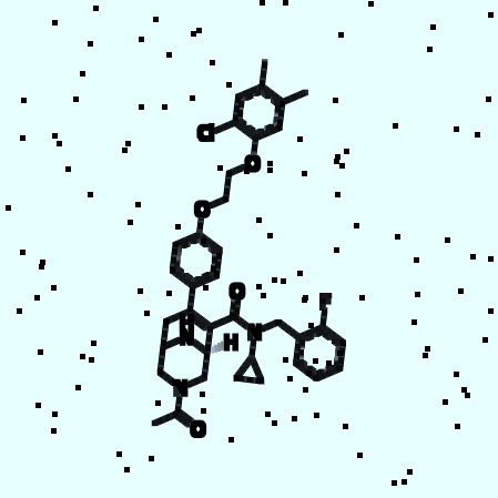 CC(=O)N1CC2CC(c3ccc(OCCOc4cc(C)c(C)cc4Cl)cc3)=C(C(=O)N(Cc3ccccc3F)C3CC3)[C@@H](C1)N2